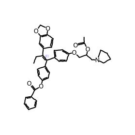 CC/C(=C(/c1ccc(OCC(CN2CCCC2)OC(C)=O)cc1)c1ccc(OC(=O)c2ccccc2)cc1)c1ccc2c(c1)OCO2